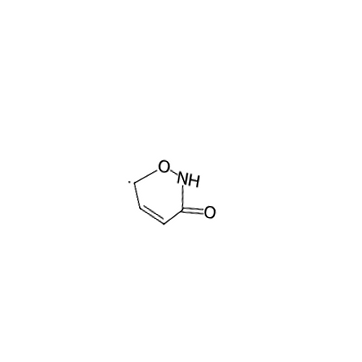 O=C1C=C[CH]ON1